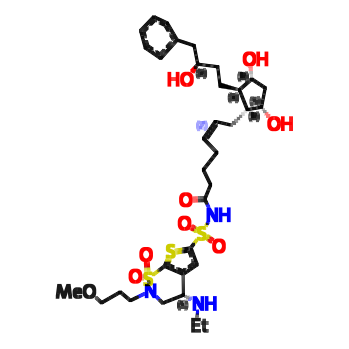 CCN[C@@H]1CN(CCCOC)S(=O)(=O)c2sc(S(=O)(=O)NC(=O)CCC/C=C\C[C@@H]3[C@@H](CC[C@@H](O)Cc4ccccc4)[C@H](O)C[C@@H]3O)cc21